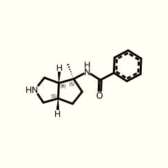 C[C@]1(NC(=O)c2ccccc2)CC[C@@H]2CNC[C@@H]21